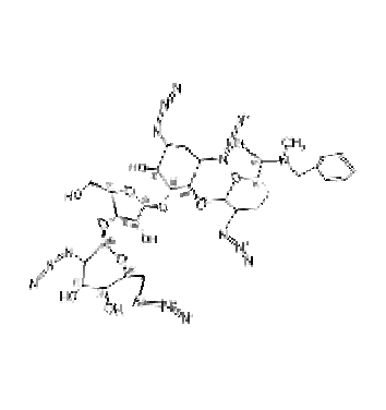 CC[C@H]([C@@H]1CCC(N=[N+]=[N-])C(O[C@@H]2C(N=[N+]=[N-])CC(N=[N+]=[N-])[C@H](O)[C@H]2O[C@@H]2O[C@H](CO)[C@@H](O[C@H]3O[C@@H](CN=[N+]=[N-])[C@@H](O)[C@H](O)C3N=[N+]=[N-])[C@H]2O)O1)N(C)Cc1ccccc1